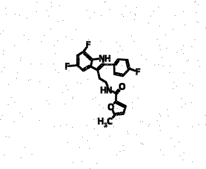 Cc1ccc(C(=O)NCCc2c(-c3ccc(F)cc3)[nH]c3c(F)cc(F)cc23)o1